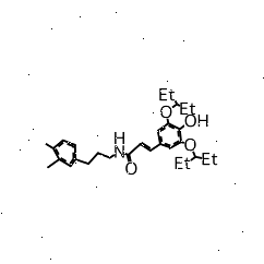 CCC(CC)Oc1cc(C=CC(=O)NCCCc2ccc(C)c(C)c2)cc(OC(CC)CC)c1O